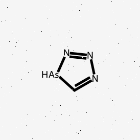 C1=NN=N[AsH]1